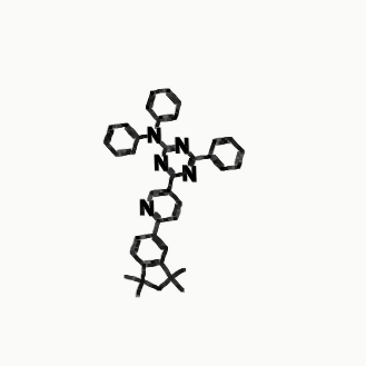 CC1(C)CC(C)(C)c2cc(-c3ccc(-c4nc(-c5ccccc5)nc(N(c5ccccc5)c5ccccc5)n4)cn3)ccc21